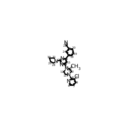 C[C@@H]1CN(c2ncccc2Cl)CCN1c1cc(-c2cccc(C#N)c2)nc(N2CCCC2)n1